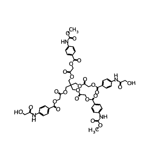 COC(=O)Nc1ccc(C(=O)OCC(=O)OCC(COC(=O)COC(=O)c2ccc(NC(=O)CO)cc2)(COC(=O)COC(=O)c2ccc(NC(=O)CO)cc2)COC(=O)COC(=O)c2ccc(NC(=O)OC)cc2)cc1